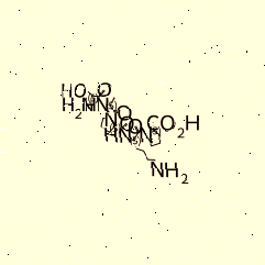 C[C@H](NC(=O)[C@@H](N)CO)C(=O)N1CCC[C@H]1C(=O)N[C@@H](CCCCN)C(=O)N1CCC[C@H]1C(=O)O